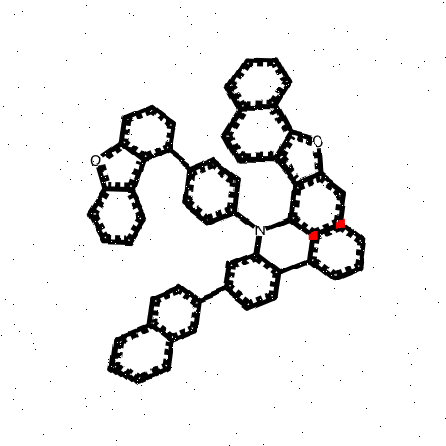 c1ccc(-c2ccc(-c3ccc4ccccc4c3)cc2N(c2ccc(-c3cccc4oc5ccccc5c34)cc2)c2cccc3oc4c5ccccc5ccc4c23)cc1